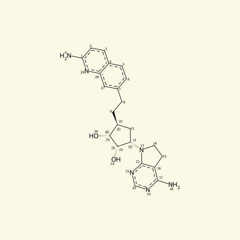 Nc1ccc2ccc(CC[C@H]3C[C@H](N4CCc5c(N)ncnc54)[C@H](O)[C@@H]3O)cc2n1